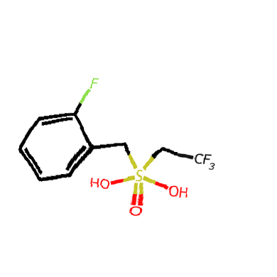 O=S(O)(O)(Cc1ccccc1F)CC(F)(F)F